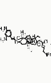 CC(C)CCC[C@@H](C)[C@H]1CC[C@H]2[C@@H]3CCC4C(C)(C)C(OCCc5ccc(N)cc5N)CC[C@]4(C)[C@H]3CC[C@]12C